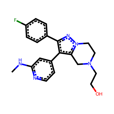 CNc1cc(-c2c(-c3ccc(F)cc3)nn3c2CN(CCO)CC3)ccn1